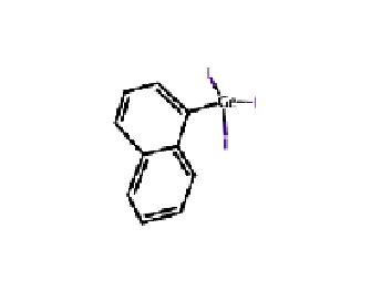 [I][Ge]([I])([I])[c]1cccc2ccccc12